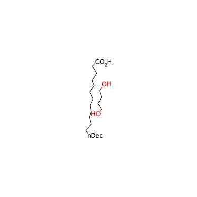 CCCCCCCCCCCCCCCCCCCCCC(=O)O.OCCCCO